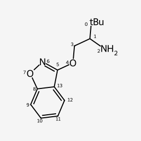 CC(C)(C)C(N)COc1noc2ccccc12